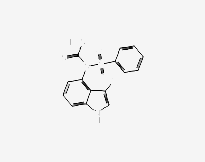 NC(=S)N(c1cccc2[nH]cc(Cl)c12)S(=O)(=O)c1ccccc1